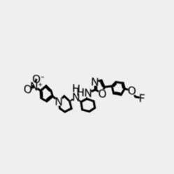 O=[N+]([O-])c1ccc(N2CCC[C@H](N[C@@H]3CCCC[C@H]3Nc3ncc(-c4ccc(OCF)cc4)o3)C2)cc1